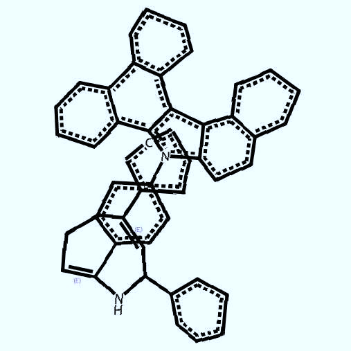 C1=C(/c2ccccc2)CC/C=C(\c2ccc(-n3c4ccc5ccccc5c4c4c5ccccc5c5ccccc5c43)cc2)NC/1c1ccccc1